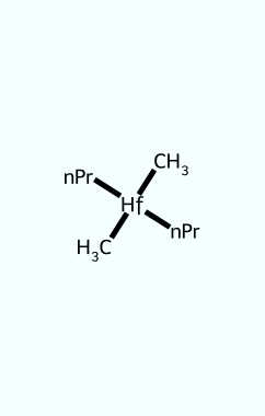 CC[CH2][Hf]([CH3])([CH3])[CH2]CC